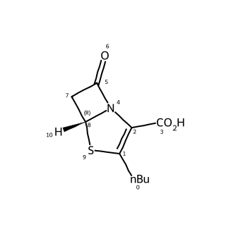 CCCCC1=C(C(=O)O)N2C(=O)C[C@H]2S1